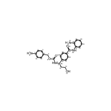 Nc1ccc(COC(=O)N[C@H](CCO)c2ccc(C(=O)Nc3ccccc3N)cc2)cc1